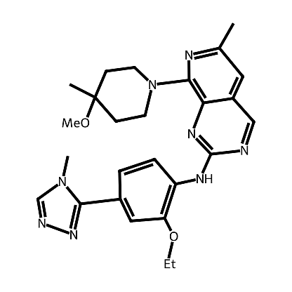 CCOc1cc(-c2nncn2C)ccc1Nc1ncc2cc(C)nc(N3CCC(C)(OC)CC3)c2n1